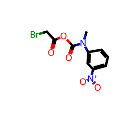 CN(C(=O)OC(=O)CBr)c1cccc([N+](=O)[O-])c1